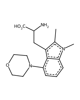 Cc1c(CC(N)C(=O)O)c2c(N3CCOCC3)cccc2n1C